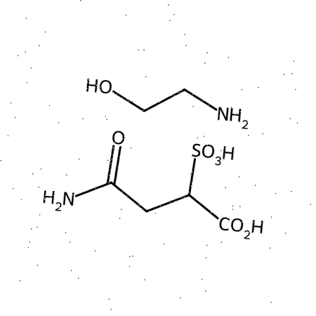 NC(=O)CC(C(=O)O)S(=O)(=O)O.NCCO